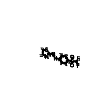 O=S(=O)(c1ccc(N=NC2=NCCS2)cc1)C(F)F